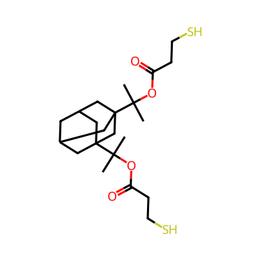 CC(C)(OC(=O)CCS)C12CC3CC(C1)CC(C(C)(C)OC(=O)CCS)(C3)C2